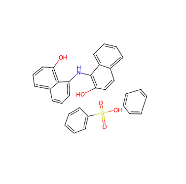 O=S(=O)(O)c1ccccc1.Oc1ccc2ccccc2c1Nc1cccc2cccc(O)c12.c1ccccc1